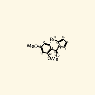 COc1ccc(C(=O)n2cccc2Br)c(OC)c1